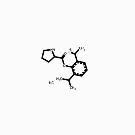 CC(C)c1cccc(C(C)C)c1OC(=O)C1CCCN1.Cl